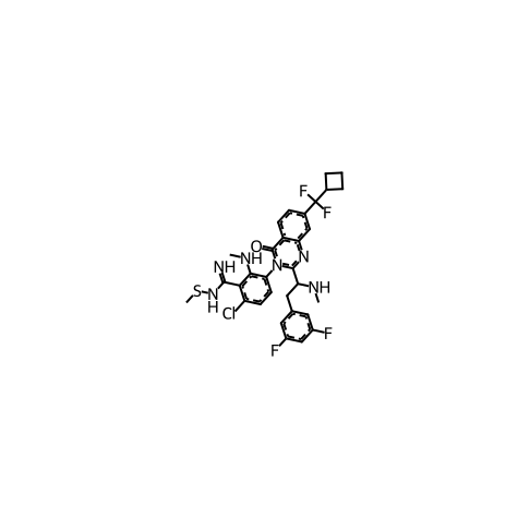 CNc1c(-n2c(C(Cc3cc(F)cc(F)c3)NC)nc3cc(C(F)(F)C4CCC4)ccc3c2=O)ccc(Cl)c1C(=N)NSC